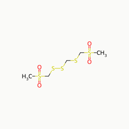 CS(=O)(=O)CSCSSCS(C)(=O)=O